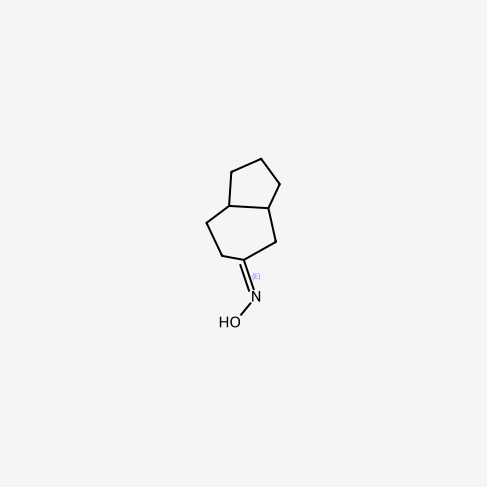 O/N=C1\CCC2CCCC2C1